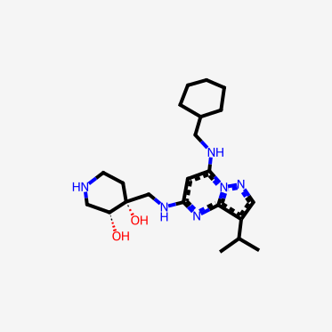 CC(C)c1cnn2c(NCC3CCCCC3)cc(NC[C@]3(O)CCNC[C@H]3O)nc12